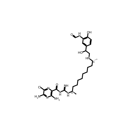 C[C@H](CCCCCCCC[C@@H](C)NC(=N)NC(=O)c1nc(Cl)c(N)nc1N)NCC(O)c1ccc(O)c(NC=O)c1